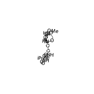 COC(=O)N[C@H]1CCCCOCc2[nH]c(nc2-c2ccc(-c3ccc(NC(=O)[C@@H]4CCCN4C(=O)[C@@H](NC4OCO4)C(C)C)cc3)cc2)[C@@H]2CCCN2C1=O